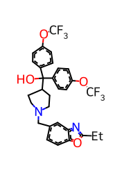 CCc1nc2cc(CN3CCC(C(O)(c4ccc(OC(F)(F)F)cc4)c4ccc(OC(F)(F)F)cc4)CC3)ccc2o1